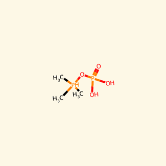 C[PH](C)(C)OP(=O)(O)O